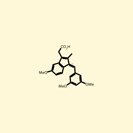 COc1cc(/C=C2/C(C)=C(CC(=O)O)c3cc(OC)ccc32)cc(OC)c1